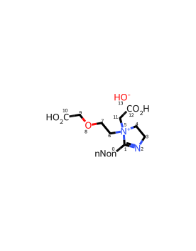 CCCCCCCCCC1=NCC[N+]1(CCOCC(=O)O)CC(=O)O.[OH-]